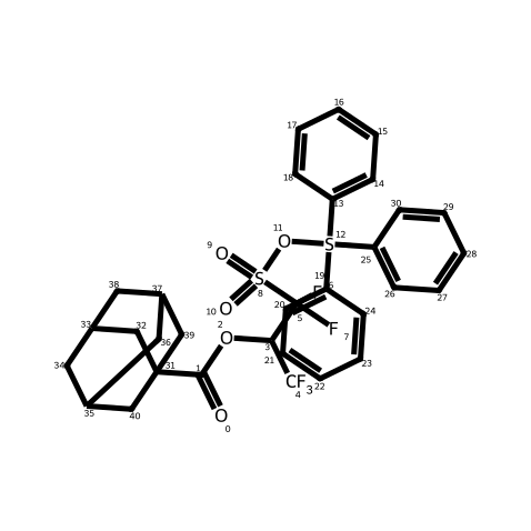 O=C(OC(C(F)(F)F)C(F)(F)S(=O)(=O)OS(c1ccccc1)(c1ccccc1)c1ccccc1)C12CC3CC(CC(C3)C1)C2